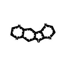 c1cnc2cc3c(cc2n1)oc1nccnc13